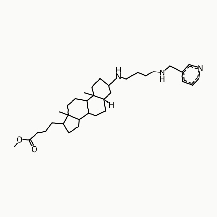 COC(=O)CCCC1CCC2C3CC[C@H]4CC(NCCCCNCc5cccnc5)CCC4(C)C3CCC12C